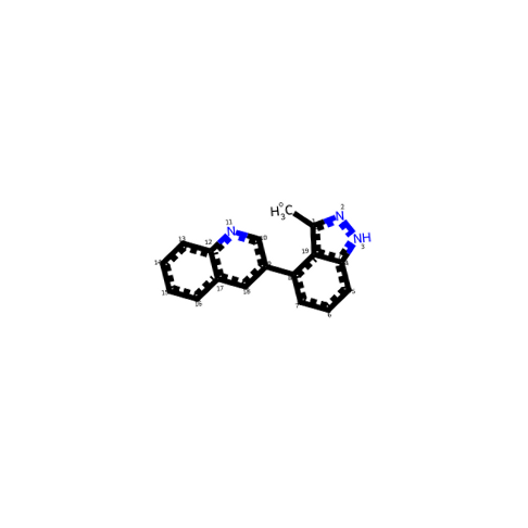 Cc1n[nH]c2cccc(-c3cnc4ccccc4c3)c12